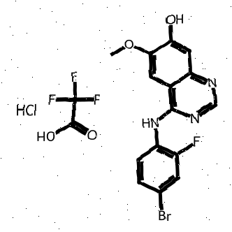 COc1cc2c(Nc3ccc(Br)cc3F)ncnc2cc1O.Cl.O=C(O)C(F)(F)F